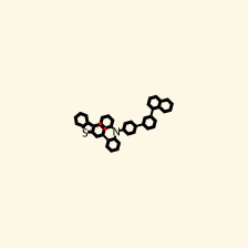 c1ccc(N(c2ccc(-c3cccc(-c4cccc5ccccc45)c3)cc2)c2ccccc2-c2ccc3c(c2)sc2ccccc23)cc1